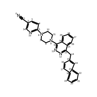 N#Cc1ccc(N2CCN(c3nnc(Cc4ccc5ccccc5c4)c4ccccc34)CC2)nc1